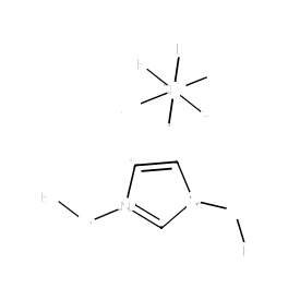 CCOn1cc[n+](OCC)c1.F[P-](F)(F)(F)(F)F